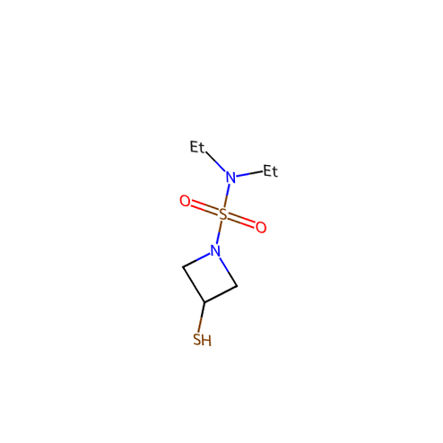 CCN(CC)S(=O)(=O)N1CC(S)C1